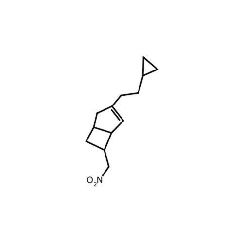 O=[N+]([O-])CC1CC2CC(CCC3CC3)=CC21